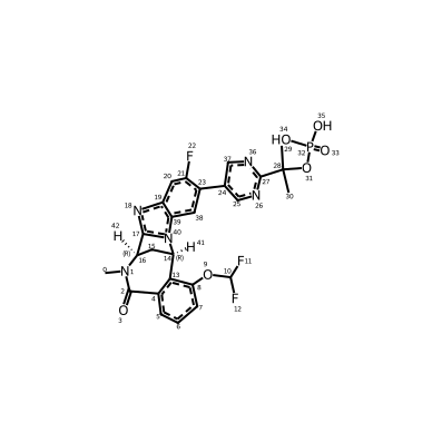 CN1C(=O)c2cccc(OC(F)F)c2[C@H]2C[C@@H]1c1nc3cc(F)c(-c4cnc(C(C)(C)OP(=O)(O)O)nc4)cc3n12